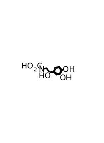 CN(CC(O)c1ccc(O)c(O)c1)C(=O)O